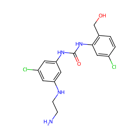 NCCNc1cc(Cl)cc(NC(=O)Nc2cc(Cl)ccc2CO)c1